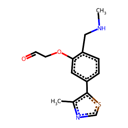 CNCc1ccc(-c2scnc2C)cc1OCC=O